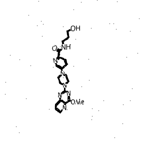 COc1nc(N2CCN(c3ccc(C(=O)NCCCO)nc3)CC2)nc2cccnc12